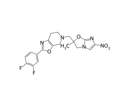 CC1(CN2CCc3nc(-c4ccc(F)c(F)c4)oc3C2)Cn2cc([N+](=O)[O-])nc2O1